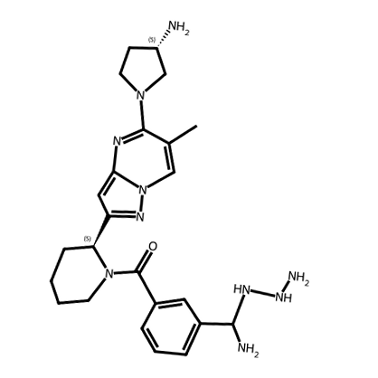 Cc1cn2nc([C@@H]3CCCCN3C(=O)c3cccc(C(N)NNN)c3)cc2nc1N1CC[C@H](N)C1